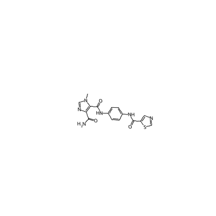 Cn1cnc(C(N)=O)c1C(=O)Nc1ccc(NC(=O)c2cncs2)cc1